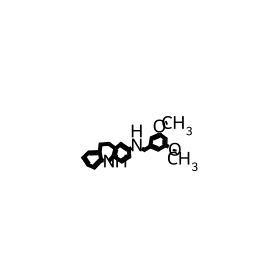 COc1cc(CNc2ccc3c(c2)CCc2ccccc2N3)cc(OC)c1